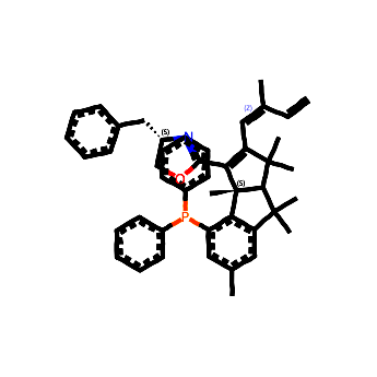 C=C/C(C)=C\C1=C(C2=N[C@@H](Cc3ccccc3)CO2)[C@@]2(C)c3c(P(c4ccccc4)c4ccccc4)cc(C)cc3C(C)(C)C2C1(C)C